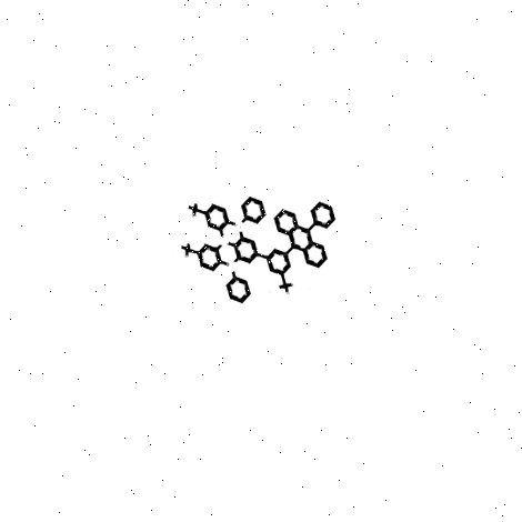 CC(C)(C)c1cc(-c2cc3c4c(c2)N(c2ccccc2)c2ccc(C(C)(C)C)cc2B4c2cc(C(C)(C)C)ccc2N3c2ccccc2)cc(-c2c3ccccc3c(-c3ccccc3)c3ccccc23)c1